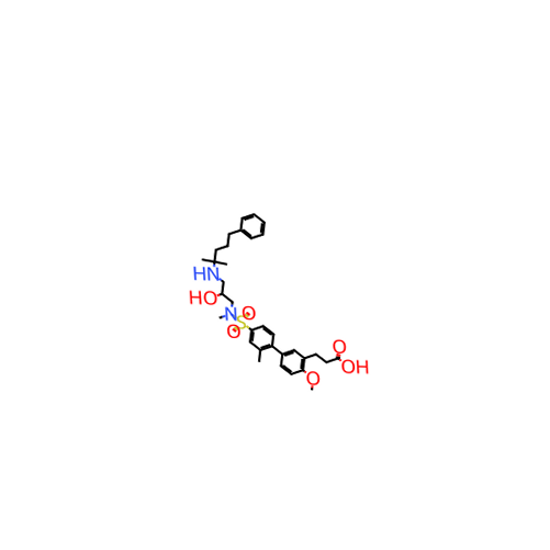 COc1ccc(-c2ccc(S(=O)(=O)N(C)CC(O)CNC(C)(C)CCCc3ccccc3)cc2C)cc1CCC(=O)O